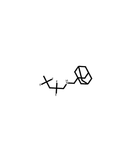 CC(F)(F)CC(F)(F)CNCC12CC3CC(CC(C3)C1)C2